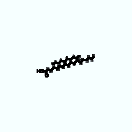 CCCCCCCCCC.CCCCCCCCCCCCCCCCCC(=O)O